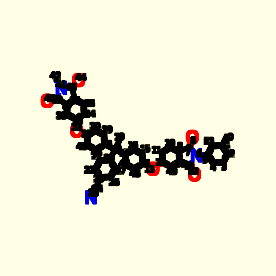 Cc1cccc(N2C(=O)c3ccc(Oc4ccc(C(C)(c5ccc(C#N)cc5)c5ccc(Oc6ccc7c(c6)C(=O)N(C)C7=O)cc5)cc4)cc3C2=O)c1